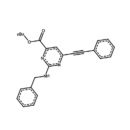 CCCCOC(=O)c1cc(C#Cc2ccccc2)nc(NCc2ccccc2)n1